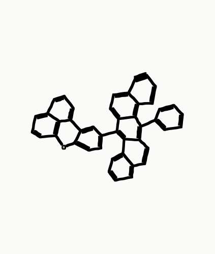 c1ccc2c(c#1)ccc1c(-c3ccc4c(c3)-c3cccc5cccc(c35)O4)c3c(ccc4ccccc43)c(-c3ccccc3)c12